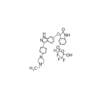 CCN1CCN(c2ccc(-c3n[nH]c4cc(C5CC56C(=O)Nc5ccc(OC)cc56)ccc34)cc2)CC1.O=C(O)C(F)(F)F